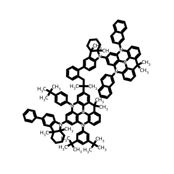 CC(C)(C)c1ccc(N2c3cc(N4c5ccc(-c6ccccc6)cc5C5(C)CCCCC45C)cc4c3B3c5c(cccc5C(C)(C)c5cc(C(C)(C)Cc6ccccc6-c6ccc7c(c6)C6(C)CCCCC6(C)N7c6cc7c8c(c6)N(c6ccc9ccccc9c6)c6cccc9c6B8c6c(cccc6C9(C)C)N7c6ccc7ccccc7c6)cc2c53)N4c2cc(C(C)(C)C)cc(C(C)(C)C)c2)cc1